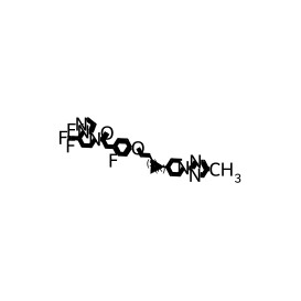 Cc1cnc(N2CCC([C@H]3C[C@H]3CCOc3ccc(CC(=O)N4CCC(C(F)(F)F)n5nccc54)c(F)c3)CC2)nc1